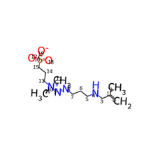 C=C(C)CNCCCN=N[N+](C)(C)CCCS(=O)(=O)[O-]